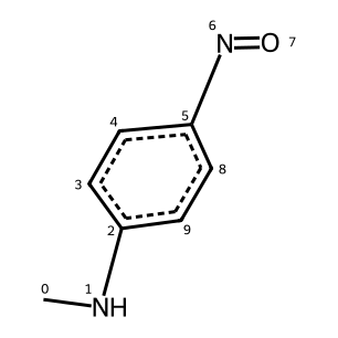 CNc1ccc(N=O)cc1